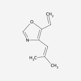 C=Cc1ocnc1C=C(C)C